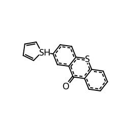 O=c1c2ccccc2sc2ccc([SH]3C=CC=C3)cc12